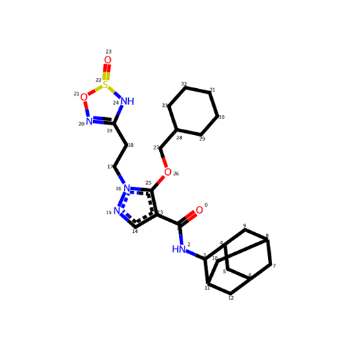 O=C(NC1C2CC3CC(C2)CC1C3)c1cnn(CCC2=NOS(=O)N2)c1OCC1CCCCC1